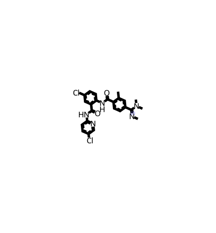 C/N=C(/c1ccc(C(=O)Nc2ccc(Cl)cc2C(=O)Nc2ccc(Cl)cn2)c(C)c1)N(C)C